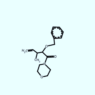 C=CC(C)C(OCc1ccccc1)C(=O)N1CCOCC1